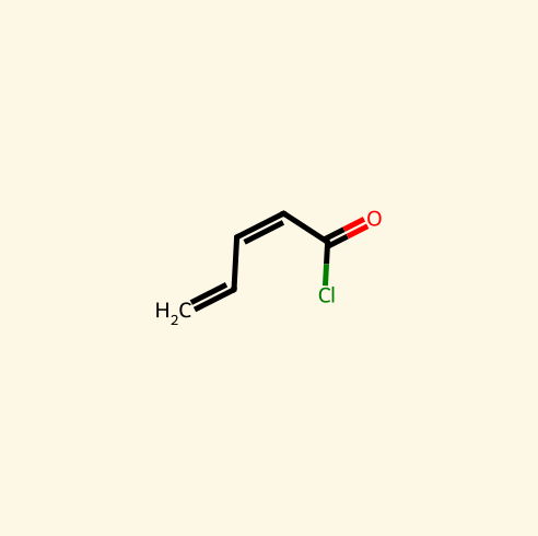 C=C/C=C\C(=O)Cl